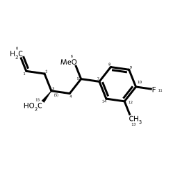 C=CC[C@@H](CC(OC)c1ccc(F)c(C)c1)C(=O)O